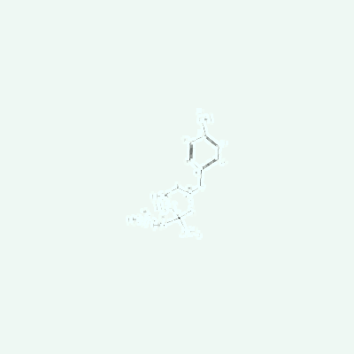 CC(C)(C[C@H](CO)Cc1ccc(O)cc1)NC(=O)O